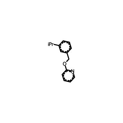 CC(C)c1cccc(COc2ccccn2)c1